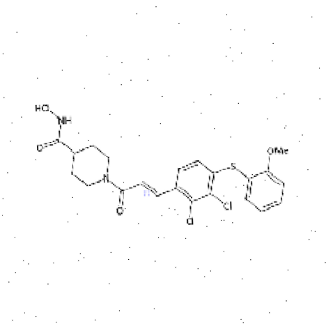 COc1ccccc1Sc1ccc(/C=C/C(=O)N2CCC(C(=O)NO)CC2)c(Cl)c1Cl